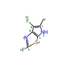 Cc1[nH]c2sc(F)nc2c1F